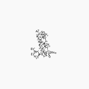 C=C(CN(CC)CC)[C@@H]1CC[C@]2(C(=O)OC)CC[C@]3(C)[C@H](CC[C@@H]4[C@@]5(C)CC[C@H](C(C)=O)C(C)(C)[C@@H]5CC[C@]43C)[C@@H]12